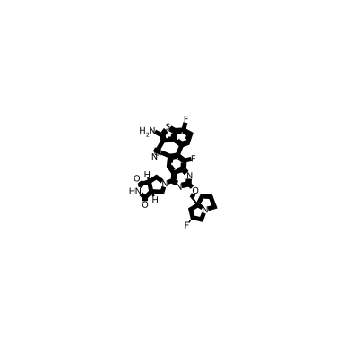 N#Cc1c(N)sc2c(F)ccc(-c3c(Cl)cc4c(N5C[C@@H]6C(=O)NC(=O)[C@@H]6C5)nc(OC[C@@]56CCCN5C[C@H](F)C6)nc4c3F)c12